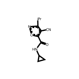 CC(C)c1noc(C(=O)NC2CC2)c1C#N